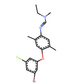 CCN(C)C=Nc1cc(C)c(Oc2cc(F)cc(Br)c2)cc1C